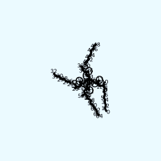 CCCCCCCCSC(C)CC(=O)OCC(COC(=O)CC(C)SCCCCCCCC)(COC(=O)CC(C)SCCCCCCCC)COC(=O)CC(C)SCCCCCCCC